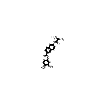 C=C(C)C(=O)Oc1ccc2cc(C(=O)Oc3ccc(O)c(CCC)c3)ccc2c1